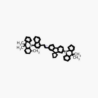 C[C@@H]1CC=CC2=C1N(c1ccc(/C=C/c3ccc4c(c3)C3(CCCC3)c3cc(N5c6ccccc6C(C)(C)c6ccccc65)ccc3-4)c3ccccc13)c1ccccc1C2(C)C